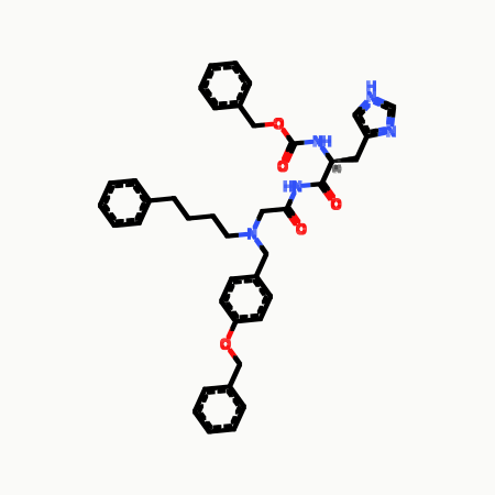 O=C(CN(CCCCc1ccccc1)Cc1ccc(OCc2ccccc2)cc1)NC(=O)[C@H](Cc1c[nH]cn1)NC(=O)OCc1ccccc1